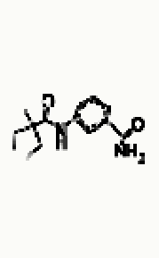 CCC(C)(CC)C(=O)Nc1cccc(C(N)=O)c1